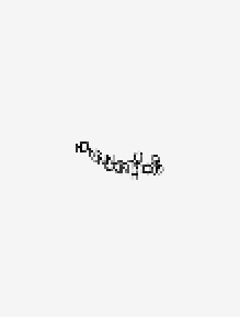 Cc1ccc(C(=O)NCc2cc3nc(N4CCN(c5cccnc5)CC4)ccc3cn2)cc1S(C)(=O)=O